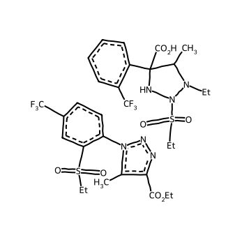 CCN1C(C)C(C(=O)O)(c2ccccc2C(F)(F)F)NN1S(=O)(=O)CC.CCOC(=O)c1nnn(-c2ccc(C(F)(F)F)cc2S(=O)(=O)CC)c1C